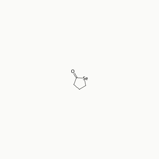 O=C1CCC[Se]1